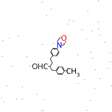 Cc1ccc(C[C@@H](C=O)CCc2ccc(N3CCOCC3)cc2)cc1